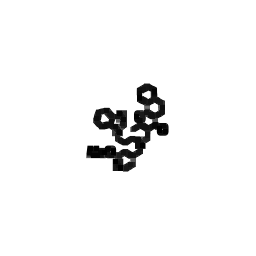 COc1cc(CN(CCCn2cnc3ccccc32)Cc2c(C)oc3c(ccc4ccccc43)c2=O)ccn1